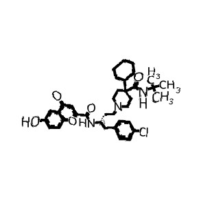 CC(C)(C)NC(=O)C1(C2CCCCC2)CCN(CC[C@H](Cc2ccc(Cl)cc2)NC(=O)c2cc(=O)c3cc(O)ccc3o2)CC1